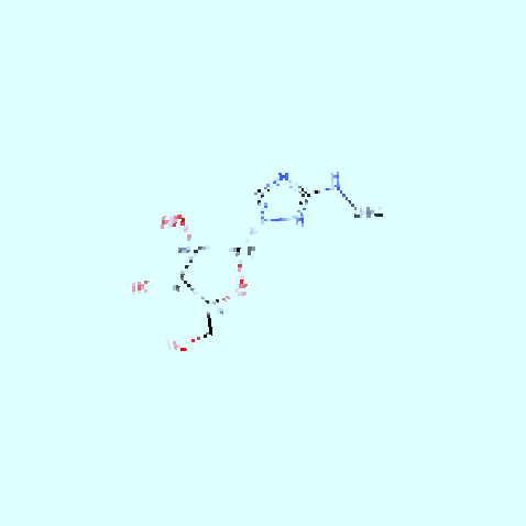 O=CNc1ncn([C@@H]2O[C@@H](CO)[C@H](O)[C@@H]2O)n1